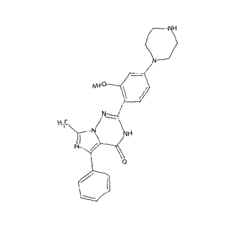 COc1cc(N2CCNCC2)ccc1-c1nn2c(C)nc(-c3ccccc3)c2c(=O)[nH]1